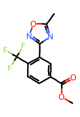 COC(=O)c1ccc(C(F)(F)F)c(-c2noc(C)n2)c1